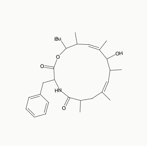 CCC(C)C1OC(=O)C(Cc2ccccc2)NC(=O)C(C)CC(C)=CC(C)C(O)C(C)=CC1C